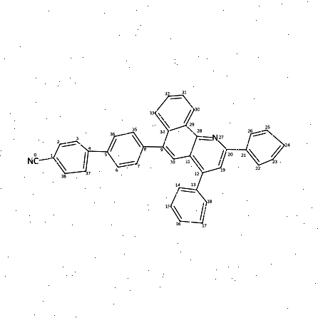 N#Cc1ccc(-c2ccc(-c3cc4c(-c5ccccc5)cc(-c5ccccc5)nc4c4ccccc34)cc2)cc1